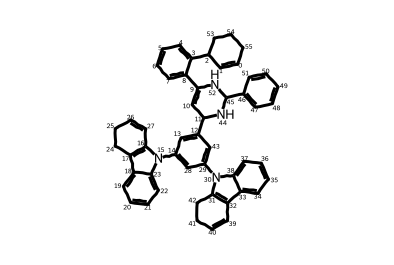 C1=CC(c2ccccc2C2=CC(c3cc(-n4c5c(c6ccccc64)CCC=C5)cc(-n4c5c(c6ccccc64)C=CCC5)c3)NC(c3ccccc3)N2)CCC1